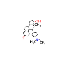 CN(CC(F)(F)F)c1ccc(C2CC3(C)C(O)CCC3C3CCC4=CC(=O)CCC4=C23)cc1